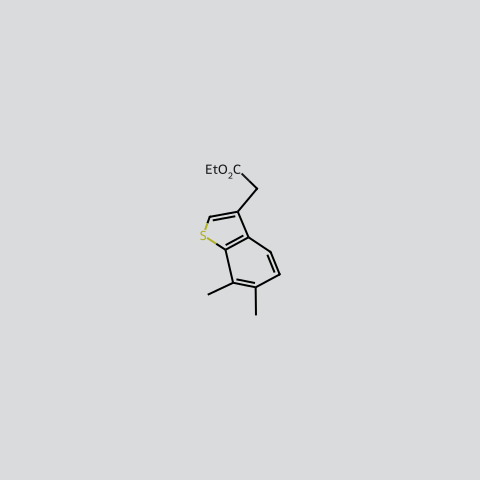 CCOC(=O)Cc1csc2c(C)c(C)ccc12